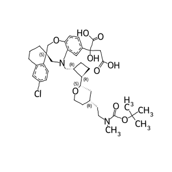 CN(CC[C@@H]1CCO[C@H]([C@@H]2CC[C@H]2CN2C[C@@]3(CCCc4cc(Cl)ccc43)COc3ccc(C(O)(CC(=O)O)C(=O)O)cc32)C1)C(=O)OC(C)(C)C